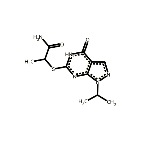 CC(Sc1nc2c(cnn2C(C)C)c(=O)[nH]1)C(N)=O